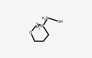 O[SiH2][SiH]1CCCO[SiH2]1